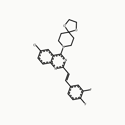 Fc1ccc(C=Cc2nc(N3CCC4(CC3)OCCO4)c3cc(Cl)ccc3n2)cc1F